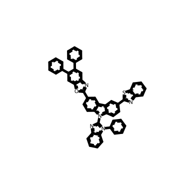 c1ccc(-c2cc3nc(-c4ccc5c(c4)c4cc(-c6nc7ccccc7s6)ccc4n5-c4nc5ccccc5n4-c4ccccc4)oc3cc2-c2ccccc2)cc1